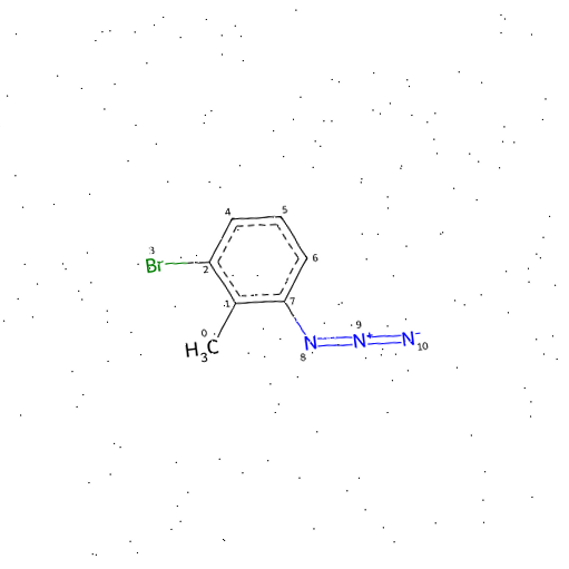 Cc1c(Br)cccc1N=[N+]=[N-]